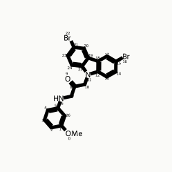 COc1cccc(NCC(=O)Cn2c3ccc(Br)cc3c3cc(Br)ccc32)c1